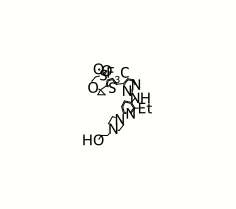 CCc1nc(N2CCN(CCO)CC2)ccc1Nc1ncc(C(F)(F)F)c(-c2cc3c(s2)C2(CC2)OCCS3(=O)=O)n1